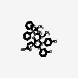 CC[C@@H](CO[Si](c1ccccc1)(c1ccccc1)C(C)(C)C)N1C(=O)[C@](C)(C=CC(=O)O)C[C@H](c2cccc(Cl)c2)[C@H]1c1ccc(Cl)cc1